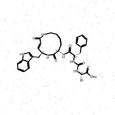 COC(=O)[C@@H](NC(=O)N[C@@H](Cc1ccccc1)C(=O)N[C@H]1CCCCNC(=O)/C=C/[C@H](Cc2c[nH]c3ccccc23)NC1=O)C(C)C